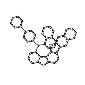 c1ccc(-c2ccc(N(c3cccc4ccccc34)c3cccc4sc5ccc6c7cc8ccccc8cc7oc6c5c34)cc2)cc1